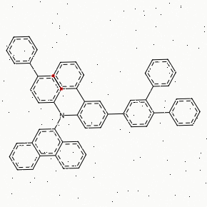 c1ccc(-c2ccc(N(c3ccc(-c4ccc(-c5ccccc5)c(-c5ccccc5)c4)cc3-c3ccccc3)c3cc4ccccc4c4ccccc34)cc2)cc1